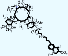 CC[C@H]1OC(=O)[C@H](C)[C@@H](O[C@H]2C[C@@](C)(OC)[C@@H](OS(=O)(=O)CCNCCCc3ccc4c(c3)c(=O)c(C(=O)O)cn4CC)[C@H](C)O2)[C@H](C)[C@@H](O[C@@H]2O[C@H](C)C[C@H](N(C)C)[C@H]2O)[C@](C)(O)C[C@@H](C)/C(=N\O)[C@@H](C)[C@@H](O)[C@]1(C)O